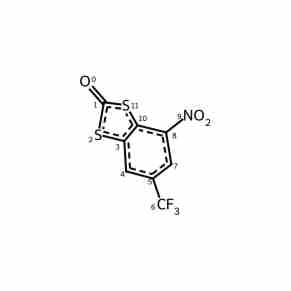 O=c1sc2cc(C(F)(F)F)cc([N+](=O)[O-])c2s1